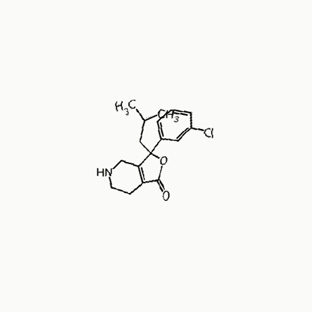 CC(C)CC1(c2cccc(Cl)c2)OC(=O)C2=C1CNCC2